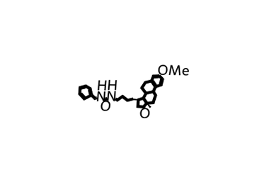 COc1ccc2c(c1)CCC1C2CC[C@]2(C)C(=O)C[C@@H](CCCCNC(=O)NCc3ccccc3)C12